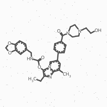 CCc1nc2c(C)cc(-c3ccc(C(=O)N4CCN(CCO)CC4)cc3)cn2c1OC(=O)NCc1ccc2c(c1)OCO2